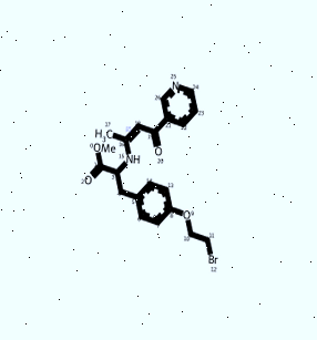 COC(=O)C(Cc1ccc(OCCBr)cc1)N/C(C)=C\C(=O)c1cccnc1